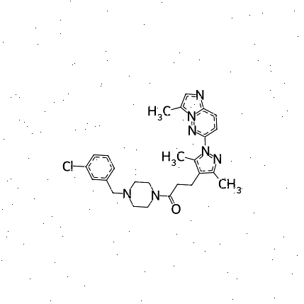 Cc1nn(-c2ccc3ncc(C)n3n2)c(C)c1CCC(=O)N1CCN(Cc2cccc(Cl)c2)CC1